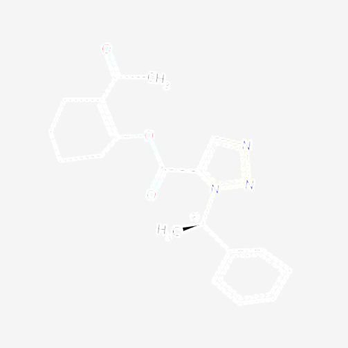 CC(=O)C1=C(OC(=O)c2cnnn2[C@H](C)c2ccccc2)CCCC1